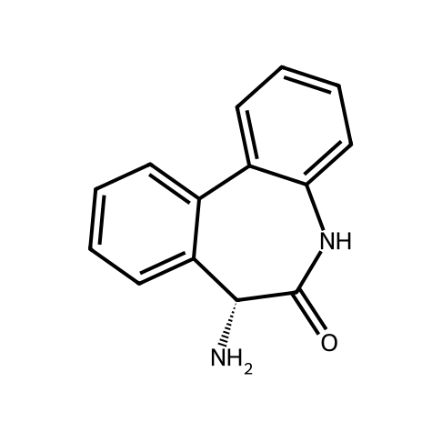 N[C@H]1C(=O)Nc2ccccc2-c2ccccc21